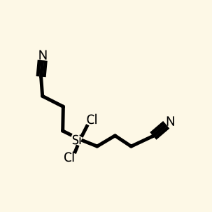 N#CCCC[Si](Cl)(Cl)CCCC#N